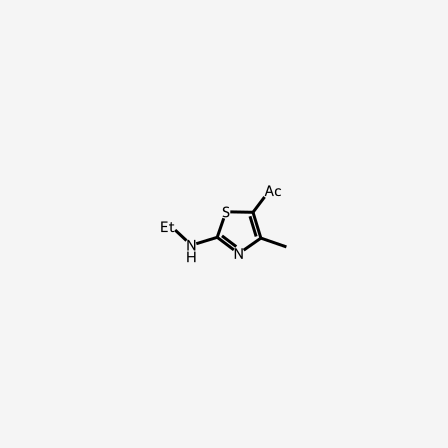 CCNc1nc(C)c(C(C)=O)s1